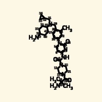 Cc1cc(-n2ccc(NC(=O)N3CCN(C(=O)C(C)(C)N)CC3)nc2=O)ccc1CN(CC1CC1)C1CCC(N)CC1